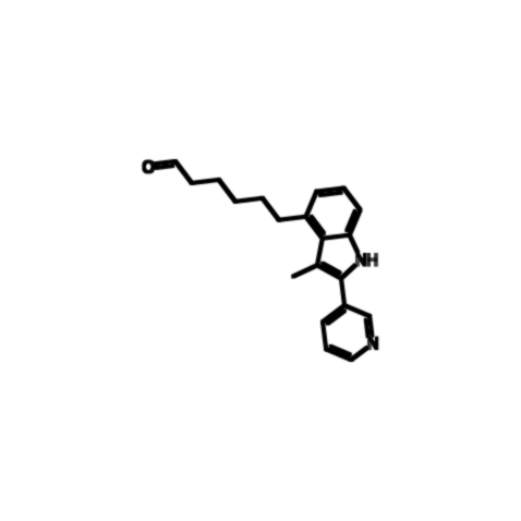 Cc1c(-c2cccnc2)[nH]c2cccc(CCCCCC=O)c12